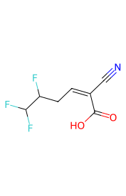 N#CC(=CCC(F)C(F)F)C(=O)O